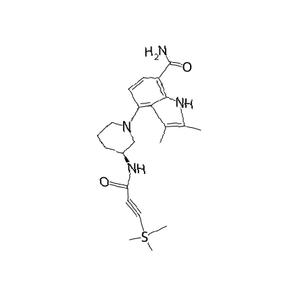 Cc1[nH]c2c(C(N)=O)ccc(N3CCC[C@H](NC(=O)C#CS(C)(C)C)C3)c2c1C